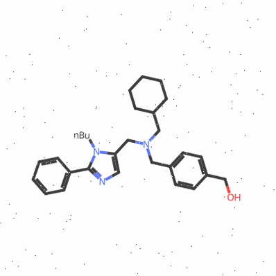 CCCCn1c(CN(Cc2ccc(CO)cc2)CC2CCCCC2)cnc1-c1ccccc1